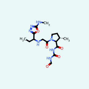 CCC(NCC(=O)N1CC[C@H](C)C1C(=O)NC(=O)NC=O)c1nnc(NC)o1